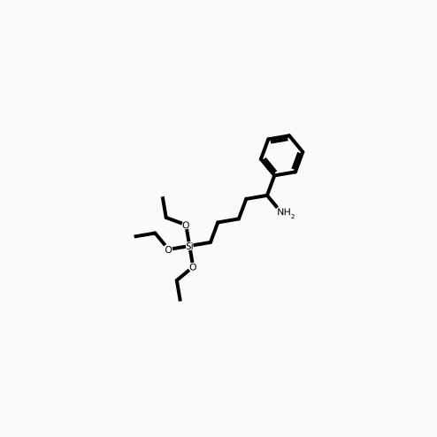 CCO[Si](CCCCC(N)c1ccccc1)(OCC)OCC